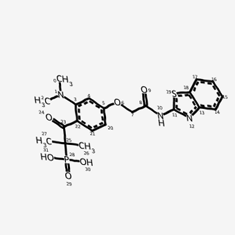 CN(C)c1cc(OCC(=O)Nc2nc3ccccc3s2)ccc1C(=O)C(C)(C)P(=O)(O)O